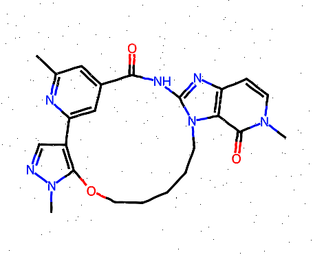 Cc1cc2cc(n1)-c1cnn(C)c1OCCCCCn1c(nc3ccn(C)c(=O)c31)NC2=O